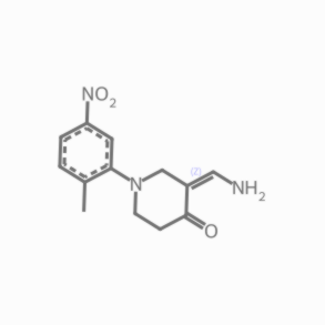 Cc1ccc([N+](=O)[O-])cc1N1CCC(=O)/C(=C\N)C1